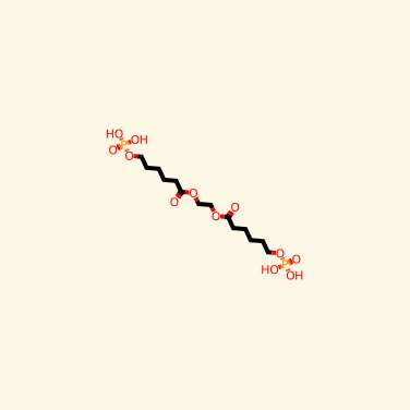 O=C(CCCCCOP(=O)(O)O)OCCOC(=O)CCCCCOP(=O)(O)O